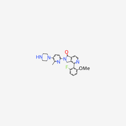 COc1cccc(F)c1-c1nccc2c1CN(c1ccc(N3CCNCC3)c(C)n1)C2=O